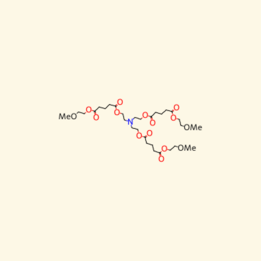 COCCOC(=O)CCCC(=O)OCCN(CCOC(=O)CCCC(=O)OCCOC)CCOC(=O)CCCC(=O)OCCOC